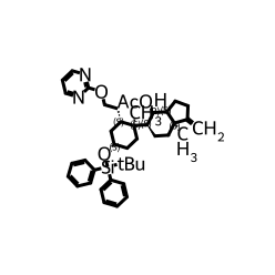 C=C1CC[C@@H]2[C@H](OC(C)=O)[C@H]([C@@]3(C)CC[C@H](O[Si](c4ccccc4)(c4ccccc4)C(C)(C)C)C[C@@H]3CCOc3ncccn3)CC[C@]12C